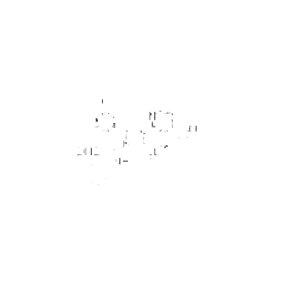 C[C@@H]1C[C@@H](O)c2ncnc(N3CCN(C(NC4CCOCC4)C(C=O)c4ccc(Cl)cc4F)CC3)c21